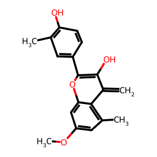 C=C1C(O)=C(c2ccc(O)c(C)c2)Oc2cc(OC)cc(C)c21